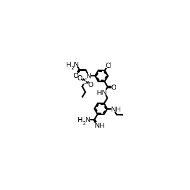 CCCS(=O)(=O)N(CC(N)=O)c1cc(Cl)cc(C(=O)NCc2ccc(C(=N)N)cc2NCC)c1